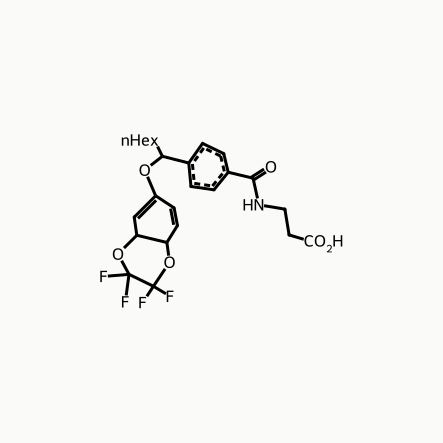 CCCCCCC(OC1=CC2OC(F)(F)C(F)(F)OC2C=C1)c1ccc(C(=O)NCCC(=O)O)cc1